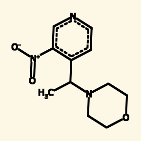 CC(c1ccncc1[N+](=O)[O-])N1CCOCC1